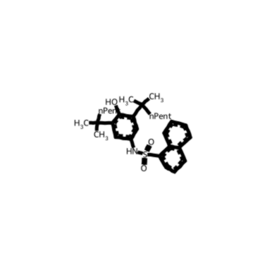 CCCCCC(C)(C)c1cc(NS(=O)(=O)c2cccc3ccccc23)cc(C(C)(C)CCCCC)c1O